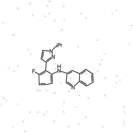 CC(C)n1ccc(-c2c(F)cccc2Nc2cnc3ccccc3c2)n1